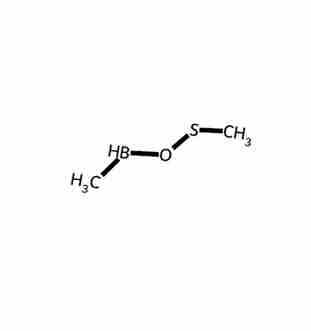 CBOSC